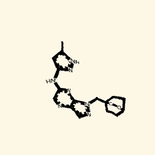 Cc1cc(Nc2cnc3cnn(CC45CCC(CC4)OC5)c3n2)n[nH]1